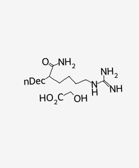 CCCCCCCCCCC(CCCCNC(=N)N)C(N)=O.O=C(O)CO